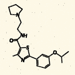 Cc1nc(-c2cccc(OC(C)C)c2)sc1C(=O)NCCN1CCCC1